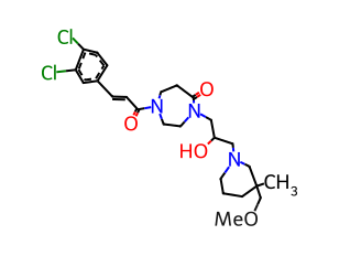 COCC1(C)CCCN(CC(O)CN2CCN(C(=O)/C=C/c3ccc(Cl)c(Cl)c3)CCC2=O)C1